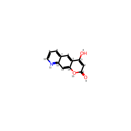 O=c1cc(O)c2cc3cccnc3cc2o1